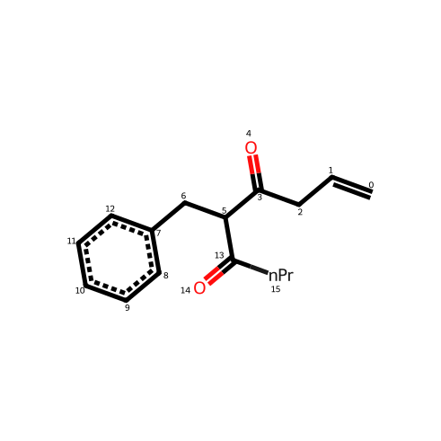 C=CCC(=O)C(Cc1ccccc1)C(=O)CCC